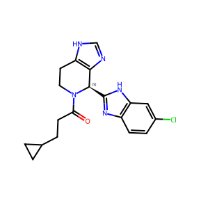 O=C(CCC1CC1)N1CCc2[nH]cnc2[C@H]1c1nc2ccc(Cl)cc2[nH]1